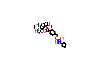 CC1(C)OB(c2ccc(COC(=O)NC3CCCC3)cc2)OC1(C)C